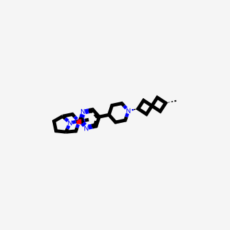 CN1CC2CCC(C1)N2c1ncc(C2CCN([C@H]3CC4(C[C@@H](C)C4)C3)CC2)cn1